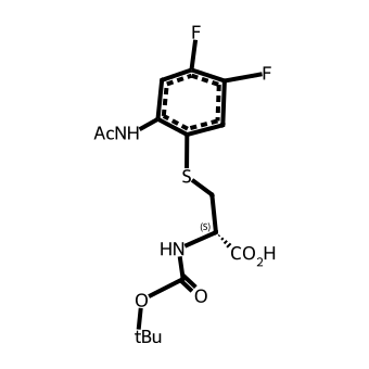 CC(=O)Nc1cc(F)c(F)cc1SC[C@@H](NC(=O)OC(C)(C)C)C(=O)O